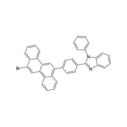 Brc1cc2c3ccccc3c(-c3ccc(-c4nc5ccccc5n4-c4ccccc4)cc3)cc2c2ccccc12